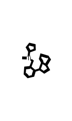 [CH2]=[Ti]([CH2]c1ccccc1C1C=Cc2ccccc21)[C]1=CC=CC1